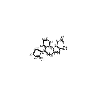 CCc1nc2n(c1CN(C)C)-c1ccccc1C(c1ccccc1Cl)=NC2